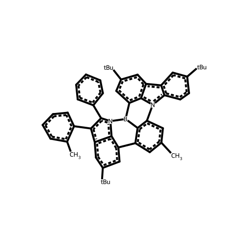 Cc1cc2c3c(c1)-n1c4ccc(C(C)(C)C)cc4c4cc(C(C)(C)C)cc(c41)B3n1c(-c3ccccc3)c(-c3ccccc3C)c3cc(C(C)(C)C)cc-2c31